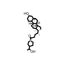 CC(O)C1CCN(C(=O)CC[C@@H](C)[C@H]2CC[C@H]3[C@@H]4CC=C5C[C@@H](O)CC[C@]5(C)[C@H]4CC[C@]23C)CC1